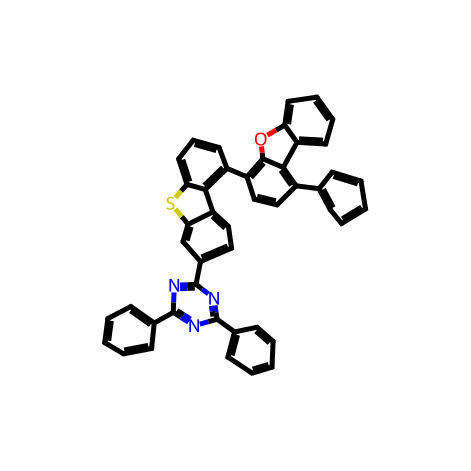 c1ccc(-c2nc(-c3ccccc3)nc(-c3ccc4c(c3)sc3cccc(-c5ccc(-c6ccccc6)c6c5oc5ccccc56)c34)n2)cc1